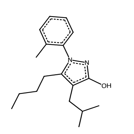 CCCCc1c(CC(C)C)c(O)nn1-c1ccccc1C